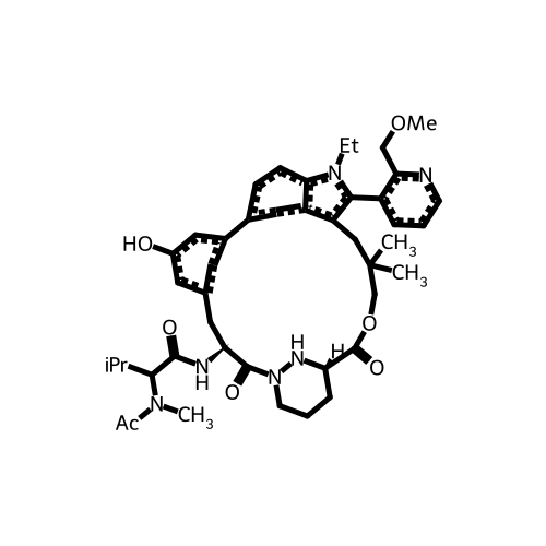 CCn1c(-c2cccnc2COC)c2c3cc(ccc31)-c1cc(O)cc(c1)C[C@H](NC(=O)C(C(C)C)N(C)C(C)=O)C(=O)N1CCC[C@H](N1)C(=O)OCC(C)(C)C2